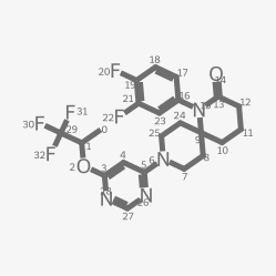 CC(Oc1cc(N2CCC3(CCCC(=O)N3c3ccc(F)c(F)c3)CC2)ncn1)C(F)(F)F